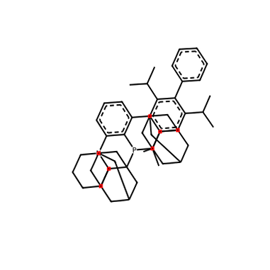 CC(C)c1cc(C(C)C)c(-c2cccc(N3CCCCC3)c2P(C23CC4CC(CC(C4)C2)C3)C23CC4CC(CC(C4)C2)C3)c(C(C)C)c1-c1ccccc1